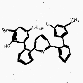 Cc1cc(Br)cc(-c2ccccc2-c2cccc(-c3ccccc3-c3cc(C)cc(Br)c3O)n2)c1